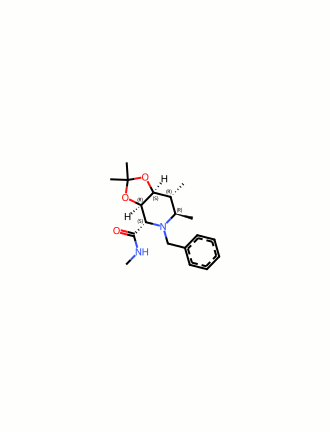 CNC(=O)[C@@H]1[C@H]2OC(C)(C)O[C@H]2[C@H](C)[C@@H](C)N1Cc1ccccc1